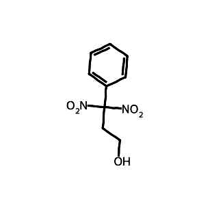 O=[N+]([O-])C(CCO)(c1ccccc1)[N+](=O)[O-]